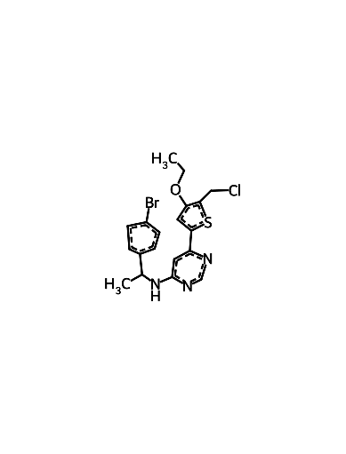 CCOc1cc(-c2cc(NC(C)c3ccc(Br)cc3)ncn2)sc1CCl